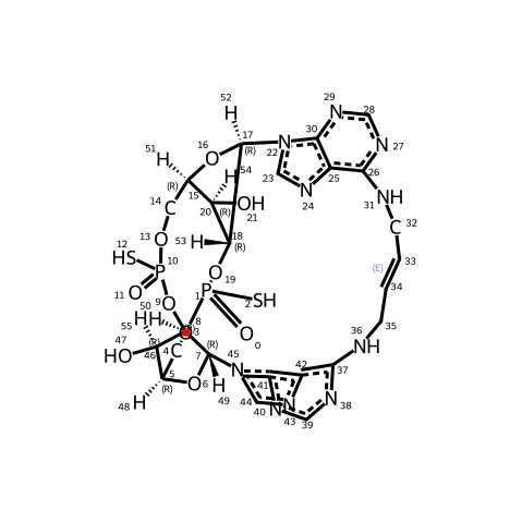 O=P1(S)OC[C@H]2O[C@@H]3[C@H](OP(=O)(S)OC[C@H]4O[C@H]([C@H](O1)[C@@H]4O)n1cnc4c(ncnc41)NC/C=C/CNc1ncnc4c1ncn43)[C@@H]2O